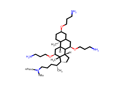 CCCCCN(CCCC)CCC[C@@H](C)[C@H]1CC[C@H]2C3[C@H](OCCCN)CC4C[C@H](OCCCN)CC[C@]4(C)[C@H]3C[C@H](OCCCN)C12C